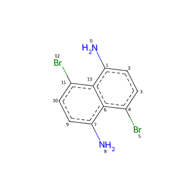 Nc1ccc(Br)c2c(N)ccc(Br)c12